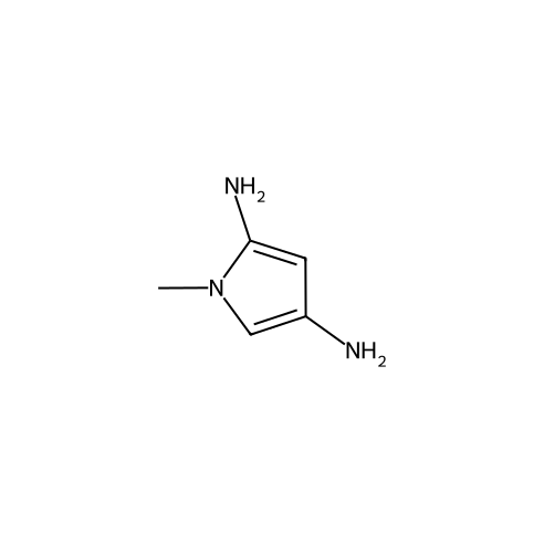 Cn1cc(N)cc1N